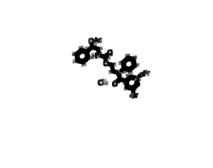 CCC[n+]1cc(Br)cc(C(=O)N(CCOC(=O)NCC(OC(C)=O)c2ccccc2)c2ccccc2)c1.[Cl-]